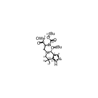 COC(=O)C(CN1Cc2cn[nH]c2C(C)(C)C1)N(OC(C)(C)C)C(=O)OC(C)(C)C